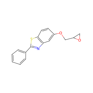 c1ccc(-c2nc3cc(OCC4CO4)ccc3s2)cc1